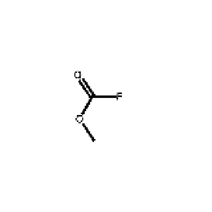 COC(=O)F